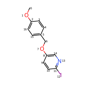 COc1ccc(COc2ccc(I)nc2)cc1